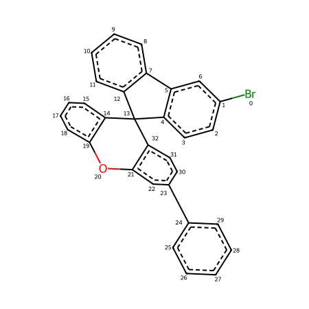 Brc1ccc2c(c1)-c1ccccc1C21c2ccccc2Oc2cc(-c3ccccc3)ccc21